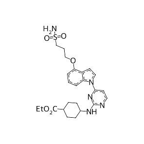 CCOC(=O)C1CCC(Nc2nccc(-n3ccc4c(OCCCS(N)(=O)=O)cccc43)n2)CC1